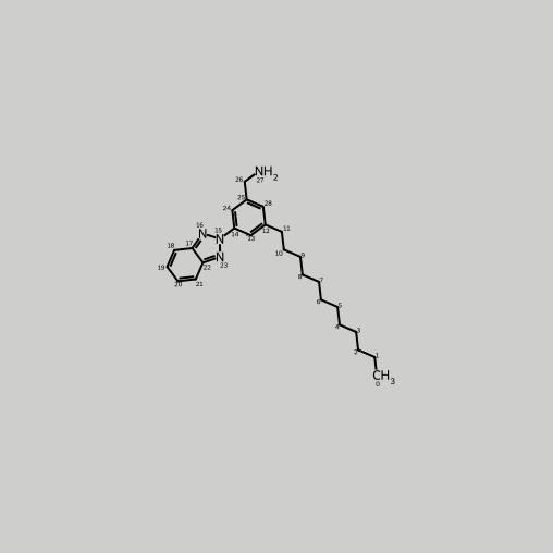 CCCCCCCCCCCCc1[c]c(-n2nc3ccccc3n2)cc(CN)c1